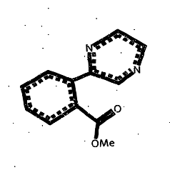 COC(=O)c1ccccc1-c1cnccn1